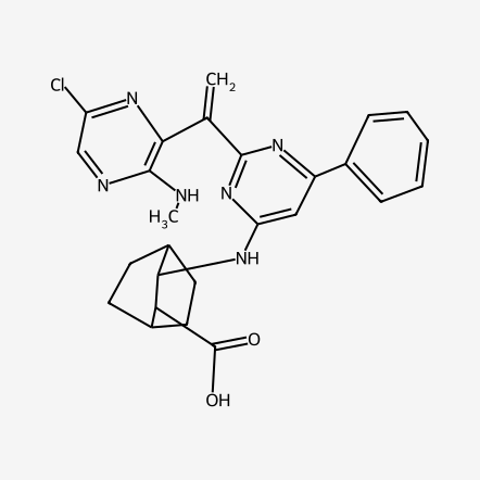 C=C(c1nc(NC2C3CCC(CC3)C2C(=O)O)cc(-c2ccccc2)n1)c1nc(Cl)cnc1NC